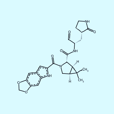 CC1(C)[C@@H]2[C@@H](C(=O)N[C@H](C=O)C[C@@H]3CCNC3=O)N(C(=O)c3cc4cc5c(cc4[nH]3)OCO5)C[C@@H]21